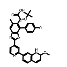 COC1C=Cc2ccc(-c3cc(-c4nc5cc(C)c([C@H](OC(C)(C)C)C(=O)O)c(-c6ccc(Cl)cc6)c5s4)ccn3)cc2N1